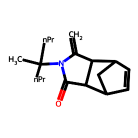 C=C1C2C3C=CC(C3)C2C(=O)N1C(C)(CCC)CCC